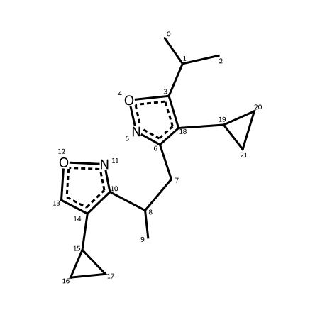 CC(C)c1onc(CC(C)c2nocc2C2CC2)c1C1CC1